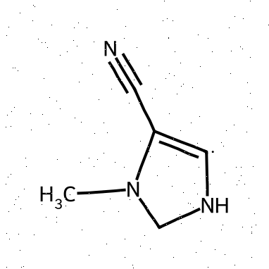 CN1CN[C]=C1C#N